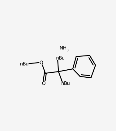 CCCCOC(=O)C(CCCC)(CCCC)c1ccccc1.N